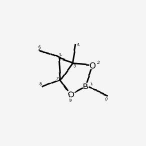 CB1OC2(C)C(C)C2(C)O1